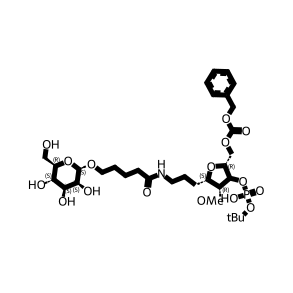 CO[C@H]1C(OP(=O)(O)OC(C)(C)C)[C@@H](COC(=O)OCc2ccccc2)O[C@H]1CCCNC(=O)CCCCO[C@H]1O[C@H](CO)[C@@H](O)[C@H](O)[C@@H]1O